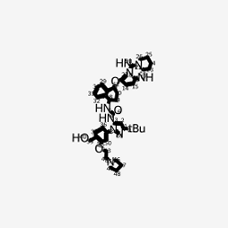 CC(C)(C)c1cc(NC(=O)NC2CCC(Oc3ccc(=N)n(C(=N)N4CCCCC4)c3)c3ccccc32)n(-c2ccc(CO)c(OCCN3CCCC3)c2)n1